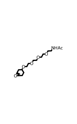 CC(=O)NCCOCCOCCOCCOC1CCC2OC2(C)C1